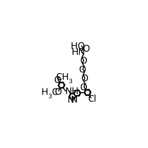 COc1ccc(CNc2cnnc3cc(-c4cc(Cl)ccc4OCCOCCOCCOCCNC(=O)O)ccc23)c(OC)c1